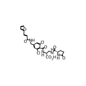 O=C(/C=C/c1ccco1)NCc1cc(Cl)c(C(=O)N[C@@H](CNC(=O)[C@H]2CCC(=O)N2)C(=O)O)c(Cl)c1